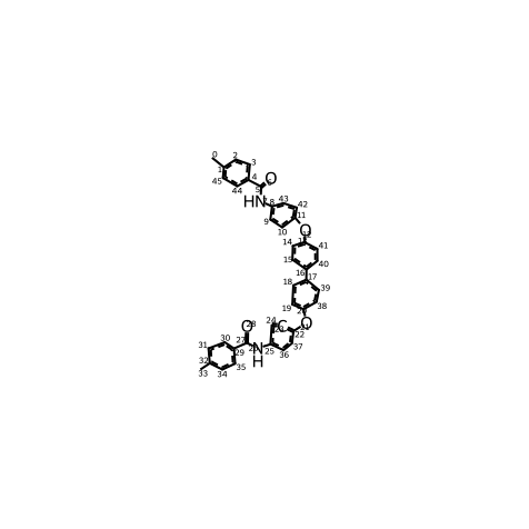 Cc1ccc(C(=O)Nc2ccc(Oc3ccc(-c4ccc(Oc5ccc(NC(=O)c6ccc(C)cc6)cc5)cc4)cc3)cc2)cc1